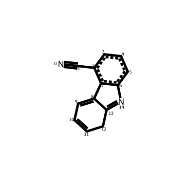 N#Cc1cccc2c1C1=CC=CCC1=N2